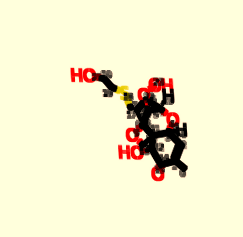 CC1=C[C@H]2O[C@@H]3CC[C@@]4(OC[C@]24[C@H](O)C1=O)[C@@]3(CSCCO)OO